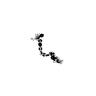 CC(Oc1cccc2c1C(=O)N(C1CCC(=O)NC1=O)C2=O)c1cn(CCCN2CCN(C(=O)CCN3CCN(c4ccc(N5CCCC(Oc6cc(-c7ccccc7O)nnc6N)C5)cc4)CC3)CC2)nn1